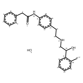 Cl.O=C(Cc1ccccn1)Nc1ccc(CCNCC(O)c2ccccc2F)cc1